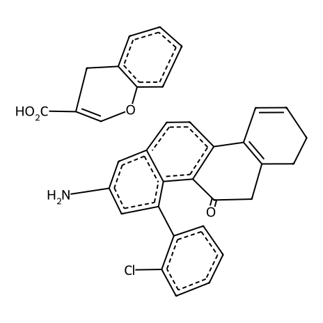 Nc1cc(-c2ccccc2Cl)c2c3c(ccc2c1)C1=C(CCC=C1)CC3=O.O=C(O)C1=COc2ccccc2C1